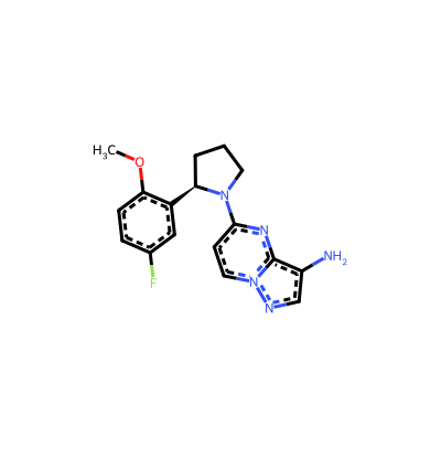 COc1ccc(F)cc1[C@H]1CCCN1c1ccn2ncc(N)c2n1